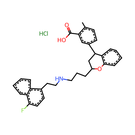 Cc1ccc(C2CC(CCCNCCc3ccc(F)c4ccccc34)Oc3ccccc32)cc1C(=O)O.Cl